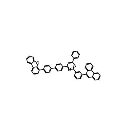 c1ccc(-c2cc(-c3ccc(-c4ccc(-c5cccc6c5oc5ccccc56)cc4)cc3)nc(-c3cccc(-c4cc5ccccc5c5ccccc45)c3)n2)cc1